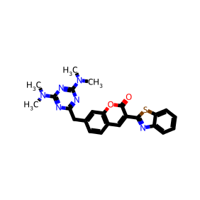 CN(C)c1nc(Cc2ccc3cc(-c4nc5ccccc5s4)c(=O)oc3c2)nc(N(C)C)n1